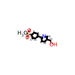 CS(=O)(=O)c1ccc(-c2ccc(CO)cn2)cc1